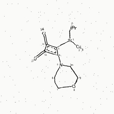 CC(C)N(C)c1c(N2CCOCC2)c(=O)c1=O